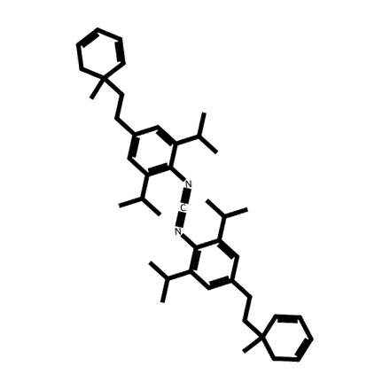 CC(C)c1cc(CCC2(C)C=CC=CC2)cc(C(C)C)c1N=C=Nc1c(C(C)C)cc(CCC2(C)C=CC=CC2)cc1C(C)C